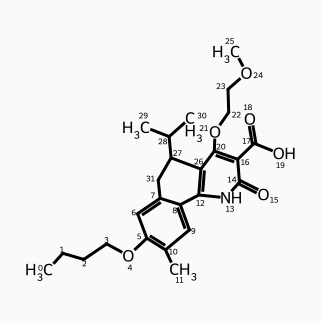 CCCCOc1cc2c(cc1C)-c1[nH]c(=O)c(C(=O)O)c(OCCOC)c1C(C(C)C)C2